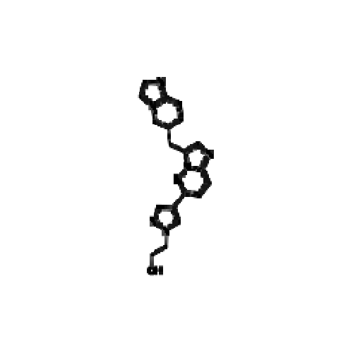 OCCn1cc(-c2ccc3ncc(Cc4ccc5nccn5c4)n3n2)cn1